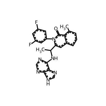 Cc1cccc2cc(C(C)Nc3ncnc4[nH]cnc34)n(-c3cc(F)cc(F)c3)c(=O)c12